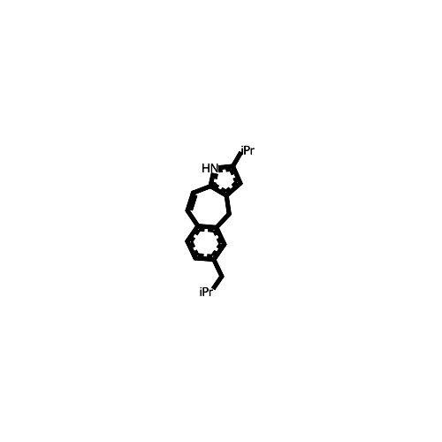 CC(C)Cc1ccc2c(c1)Cc1cc(C(C)C)[nH]c1C=C2